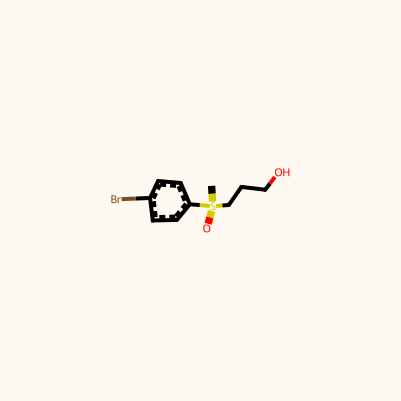 C=S(=O)(CCCO)c1ccc(Br)cc1